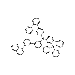 c1ccc(C2(c3ccccc3)c3ccccc3-c3ccc(N(c4cccc(-c5cccc(-c6cccc7ccccc67)c5)c4)c4ccc5c6ccccc6c6ccccc6c5c4)cc32)cc1